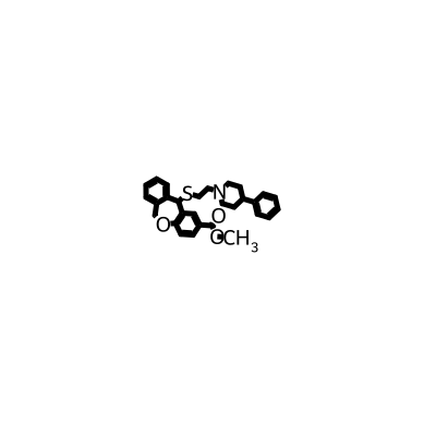 COC(=O)c1ccc2c(c1)C(SCCN1CCC(c3ccccc3)CC1)c1ccccc1CO2